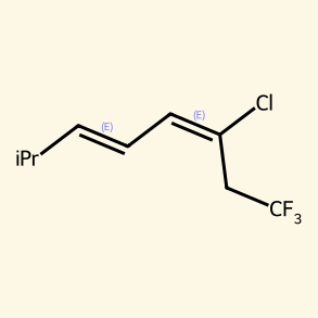 CC(C)/C=C/C=C(/Cl)CC(F)(F)F